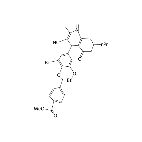 CCCC1CC(=O)C2=C(C1)NC(C)=C(C#N)C2c1cc(Br)c(OCc2ccc(C(=O)OC)cc2)c(OCC)c1